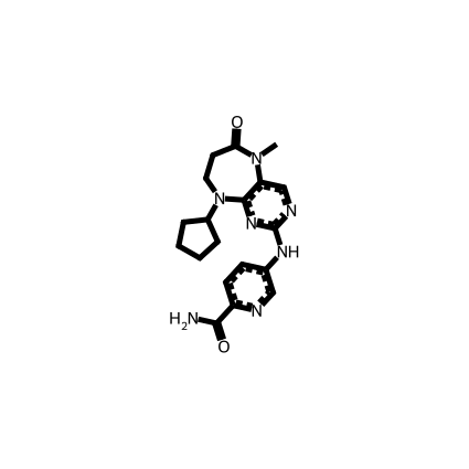 CN1C(=O)CCN(C2CCCC2)c2nc(Nc3ccc(C(N)=O)nc3)ncc21